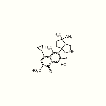 Cc1c(C23CCC(C)(N)C2CNC3)c(F)cn2c(=O)c(C(=O)O)cc(C3CC3)c12.Cl